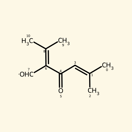 CC(C)=CC(=O)C([C]=O)=C(C)C